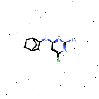 Nc1nc(Cl)cc(NC2CC3CCC2C3)n1